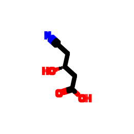 N#CC[C@@H](O)CC(=O)O